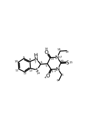 CCN1C(=O)C(C2Nc3ccccc3S2)C(=O)N(CC)C1=S